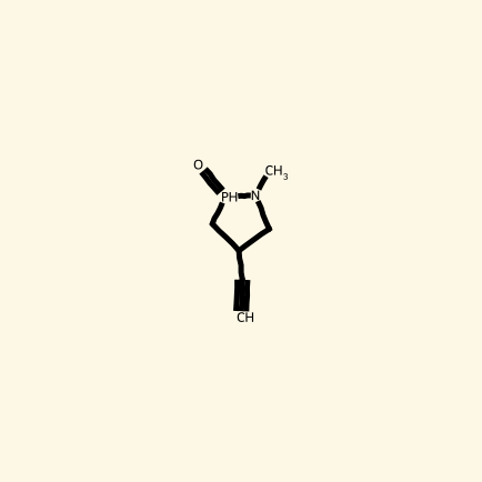 C#CC1CN(C)[PH](=O)C1